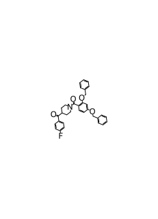 O=C(c1ccc(F)cc1)C1CCN(C(=O)c2ccc(OCc3ccccc3)cc2OCc2ccccc2)CC1